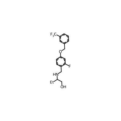 CCC(CO)NCc1ccc(OCc2cccc(C(F)(F)F)c2)cc1F